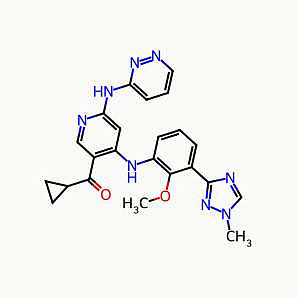 COc1c(Nc2cc(Nc3cccnn3)ncc2C(=O)C2CC2)cccc1-c1ncn(C)n1